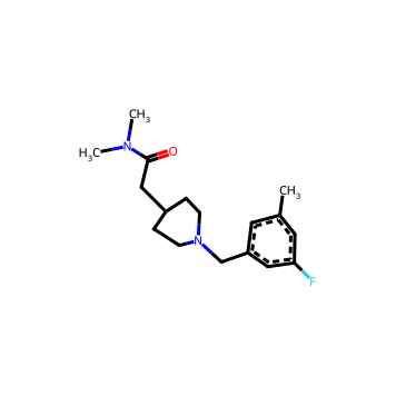 Cc1cc(F)cc(CN2CCC(CC(=O)N(C)C)CC2)c1